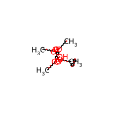 CCCCCCCCOC(=O)c1ccc(-c2ccc(C(=O)OCCCCCCCC)c(C(=O)OCCCCCCCC)c2O)cc1C(=O)OCCCCCCCC.c1ccc(-c2ccccc2)cc1